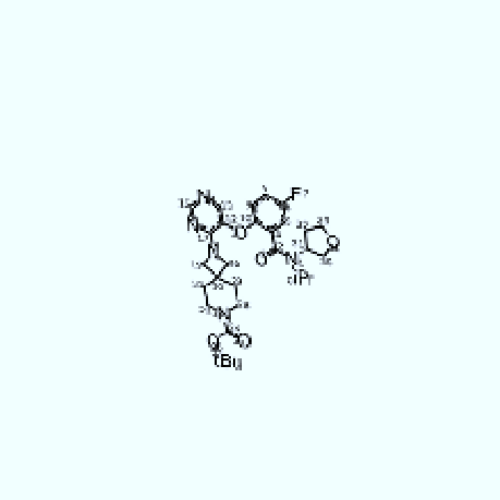 CC(C)N(C(=O)c1cc(F)ccc1Oc1cncnc1N1CC2(CCN(C(=O)OC(C)(C)C)CC2)C1)[C@@H]1CCOC1